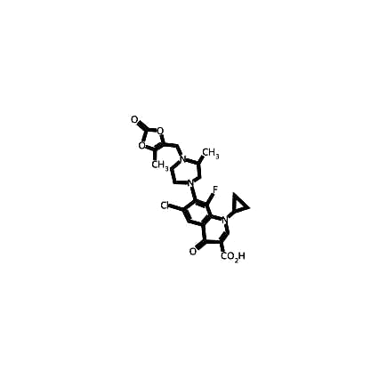 Cc1oc(=O)oc1CN1CCN(c2c(Cl)cc3c(=O)c(C(=O)O)cn(C4CC4)c3c2F)CC1C